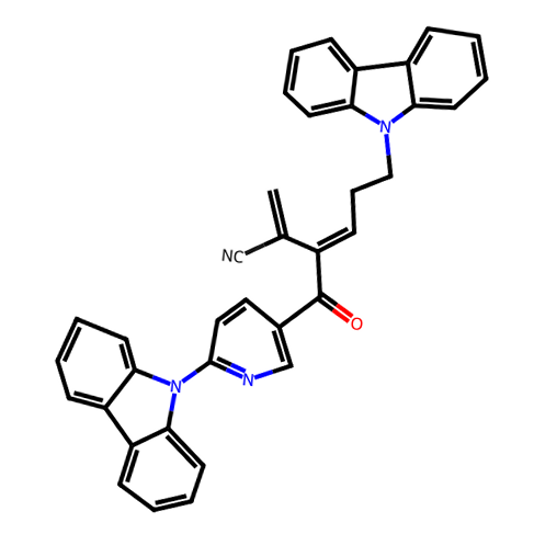 C=C(C#N)/C(=C\CCn1c2ccccc2c2ccccc21)C(=O)c1ccc(-n2c3ccccc3c3ccccc32)nc1